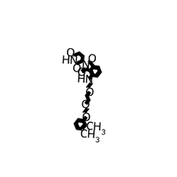 Cc1cccc(OCCOCCOCCNc2cccc3c2C(=O)N(C2CCC(=O)NC2=O)C3=O)c1C